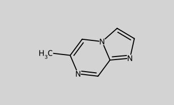 Cc1cn2ccnc2cn1